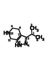 CC(C)c1n[nH]c2c1CCNC2